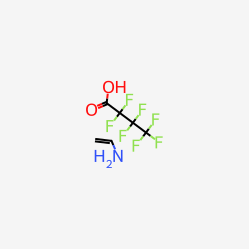 C=CN.O=C(O)C(F)(F)C(F)(F)C(F)(F)F